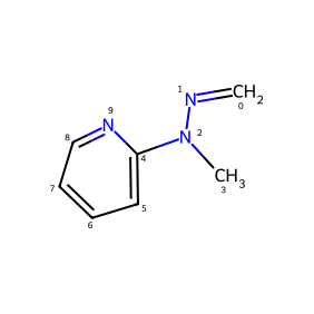 C=NN(C)c1ccccn1